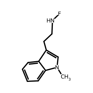 Cn1cc(CCNF)c2ccccc21